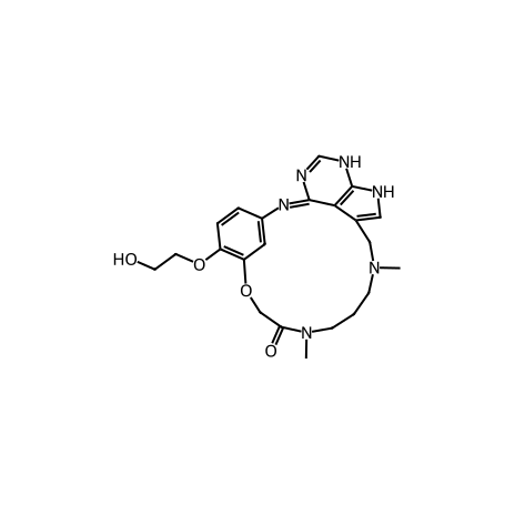 CN1CCCN(C)C(=O)COc2cc(ccc2OCCO)/N=C2/N=CNc3[nH]cc(c32)C1